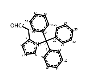 O=CCc1cncn1C(c1ccccc1)(c1ccccc1)c1ccccc1